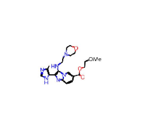 COCCOC(=O)c1ccc2nc(-c3[nH]cnc3C)c(NCCN3CCOCC3)n2c1